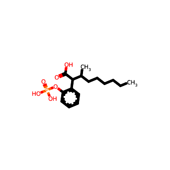 CCCCCCC(C)C(C(=O)O)c1ccccc1OP(=O)(O)O